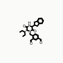 CCC(CC)[C@@H]1C(=O)NC(C2Cc3ccccc3C2)C(=O)N1Cc1ccc(C=O)cc1C=O